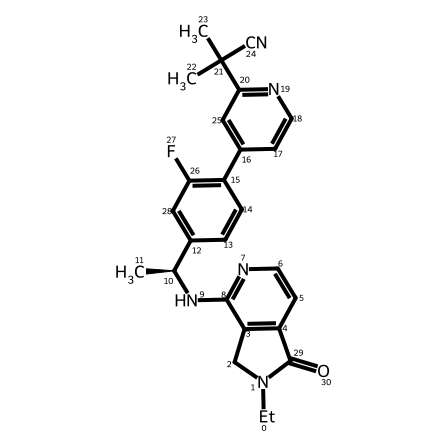 CCN1Cc2c(ccnc2N[C@@H](C)c2ccc(-c3ccnc(C(C)(C)C#N)c3)c(F)c2)C1=O